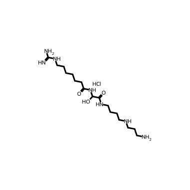 Cl.N=C(N)NCCCCCCC(=O)NC(O)C(=O)NCCCCNCCCN